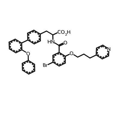 O=C(NC(Cc1ccc(-c2ccccc2Oc2ccccc2)cc1)C(=O)O)c1cc(Br)ccc1OCCCc1ccncc1